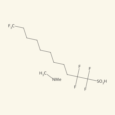 CNC.O=S(=O)(O)C(F)(F)C(F)(F)CCCCCCCCC(F)(F)F